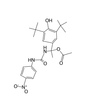 CC(=O)OC(C)(NC(=O)Nc1ccc([N+](=O)[O-])cc1)c1cc(C(C)(C)C)c(O)c(C(C)(C)C)c1